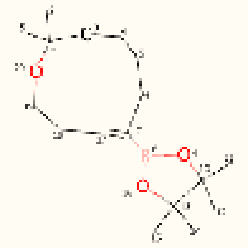 CC1(C)CCCC/C(B2OC(C)(C)C(C)(C)O2)=C\CCO1